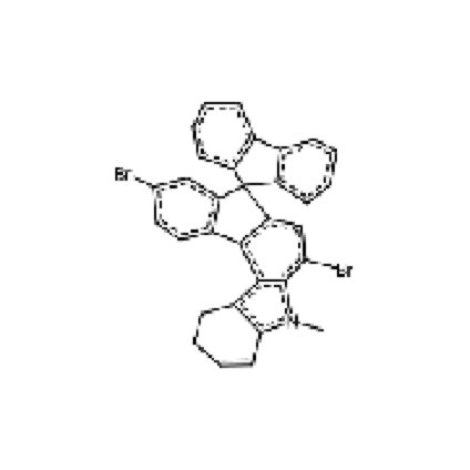 Cn1c2c(c3c4c(cc(Br)c31)C1(c3ccccc3-c3ccccc31)c1cc(Br)ccc1-4)CCC=C2